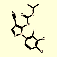 CC(C)OC(=O)Nc1c(C#N)cnn1-c1ccc(Cl)c(Cl)c1Cl